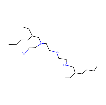 CCCCC(CC)CNCCNCCN(CCN)CC(CC)CCCC